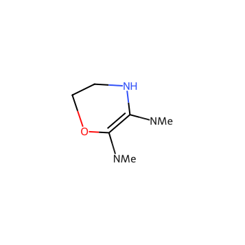 CNC1=C(NC)OCCN1